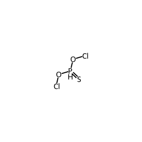 S=[PH](OCl)OCl